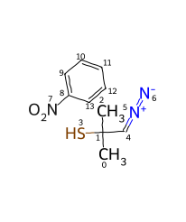 CC(C)(S)C=[N+]=[N-].O=[N+]([O-])c1ccccc1